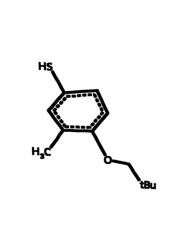 Cc1cc(S)ccc1OCC(C)(C)C